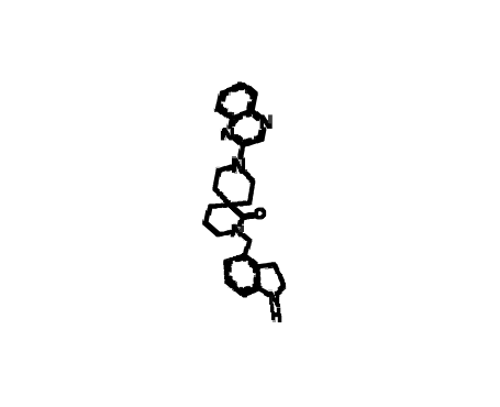 O=C1N(Cc2cccc3c2CCN3)CCCC12CCN(c1cnc3ccccc3n1)CC2